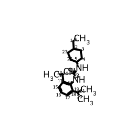 CCC1CCC(NC(=S)Nc2c(C(C)C)cccc2C(C)C)CC1